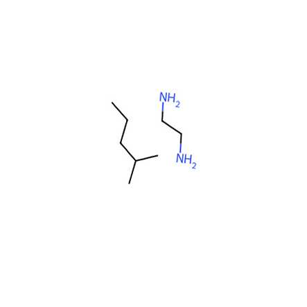 CCCC(C)C.NCCN